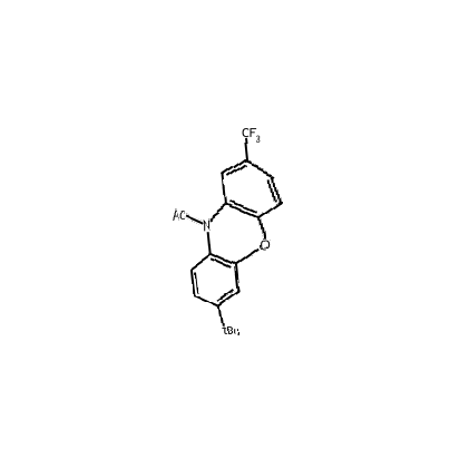 CC(=O)N1c2ccc(C(C)(C)C)cc2Oc2ccc(C(F)(F)F)cc21